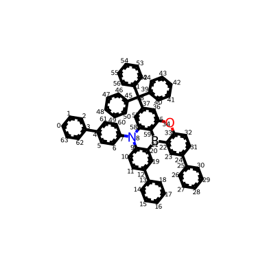 c1ccc(-c2ccc(N3c4ccc(-c5ccccc5)cc4B4c5cc(-c6ccccc6)ccc5Oc5cc(C(c6ccccc6)(c6ccccc6)c6ccccc6)cc3c54)cc2)cc1